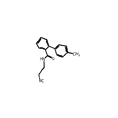 [C-]#[N+]CCNC(=O)c1ccccc1-c1ccc(C)cc1